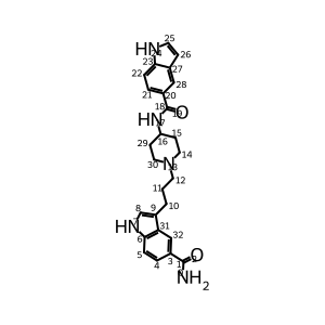 NC(=O)c1ccc2[nH]cc(CCCN3CCC(NC(=O)c4ccc5[nH]ccc5c4)CC3)c2c1